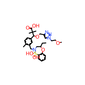 CCC1CN(Cc2cc(C(OCc3cn(CCOC)nn3)C(C)(C)C(=O)O)ccc2C)S(O)(O)c2ccccc2O1